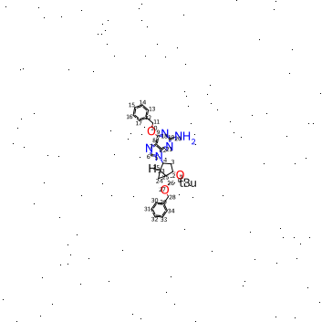 CC(C)(C)O[C@H]1C[C@H](n2cnc3c(OCc4ccccc4)nc(N)nc32)[C@H]2C[C@]12COCc1ccccc1